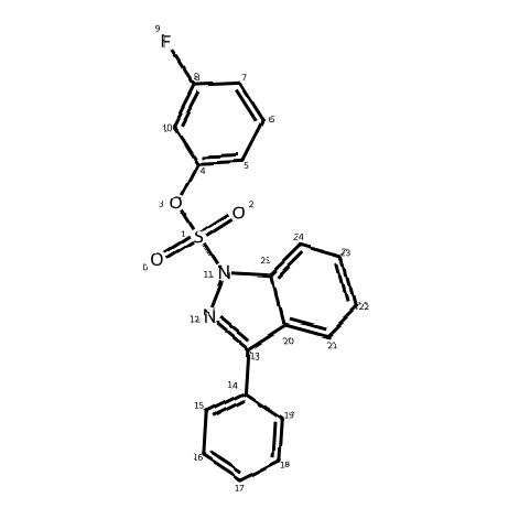 O=S(=O)(Oc1cccc(F)c1)n1nc(-c2ccccc2)c2c[c]ccc21